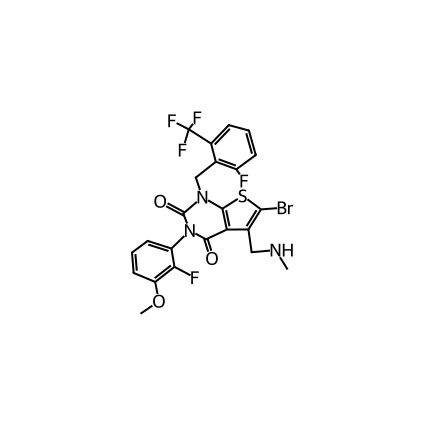 CNCc1c(Br)sc2c1c(=O)n(-c1cccc(OC)c1F)c(=O)n2Cc1c(F)cccc1C(F)(F)F